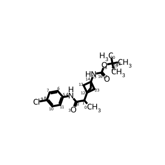 CC(C(=O)Nc1ccc(Cl)cc1)C12CC(NC(=O)OC(C)(C)C)(C1)C2